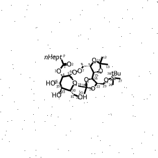 CCCCCCCC(=O)O[C@@H]1[C@H](OOC[C@@H]2OC(C)(C)O[C@H]2[C@@H]2OC(C)(C)O[C@@H]2CO[Si](C)(C)C(C)(C)C)O[C@H](CO)[C@@H](O)[C@@H]1O